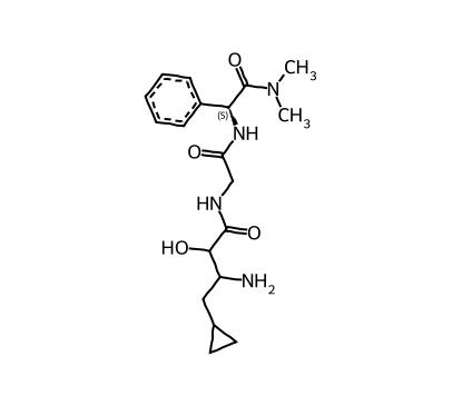 CN(C)C(=O)[C@@H](NC(=O)CNC(=O)C(O)C(N)CC1CC1)c1ccccc1